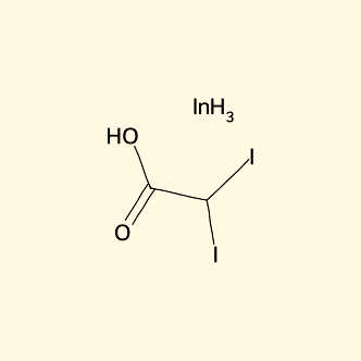 O=C(O)C(I)I.[InH3]